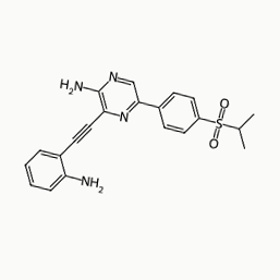 CC(C)S(=O)(=O)c1ccc(-c2cnc(N)c(C#Cc3ccccc3N)n2)cc1